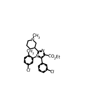 CCOC(=O)c1nc(C2CCCN(C)C2)n(-c2cc(Cl)ccc2C)c1-c1cccc(Cl)c1